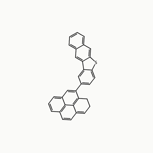 C1=c2ccc3cccc4cc(-c5ccc6sc7cc8ccccc8cc7c6c5)c(c2c34)CC1